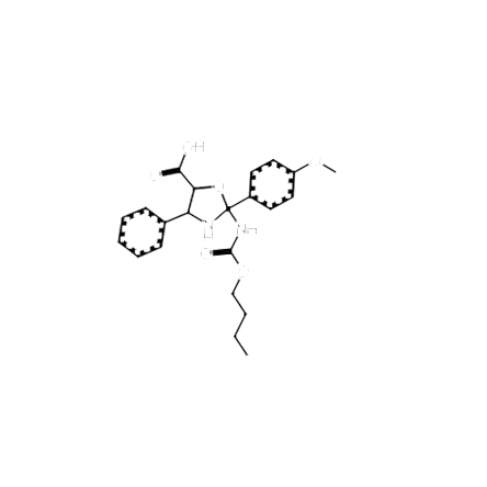 CCCCOC(=O)NC1(c2ccc(OC)cc2)NC(c2ccccc2)C(C(=O)O)O1